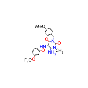 COc1ccc(Cn2c(=O)c(NOc3cccc(OC(F)(F)F)c3)c(N)n(C)c2=O)cc1